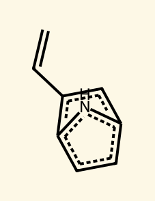 C=Cc1cc2ccc1[nH]2